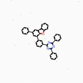 c1ccc(-c2cc(-c3cccc(-c4nc(-c5ccccc5)nc(-c5ccccc5)n4)c3)c3oc4ccccc4c3c2)cc1